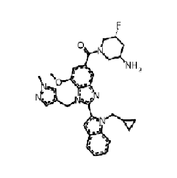 COc1cc(C(=O)N2C[C@H](N)C[C@@H](F)C2)cc2nc(-c3cc4ccccc4n3CC3CC3)n(Cc3cnn(C)c3)c12